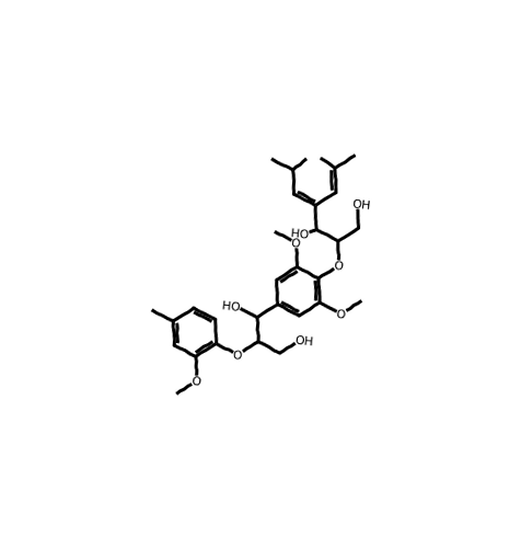 COc1cc(C)ccc1OC(CO)C(O)c1cc(OC)c(OC(CO)C(O)/C(C=C(C)C)=C/C(C)C)c(OC)c1